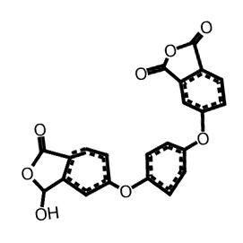 O=C1OC(=O)c2cc(Oc3ccc(Oc4ccc5c(c4)C(O)OC5=O)cc3)ccc21